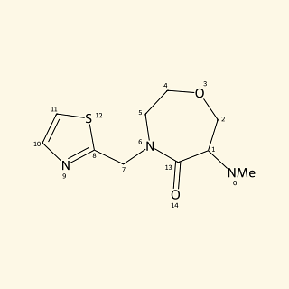 CNC1COCCN(Cc2nccs2)C1=O